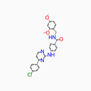 COc1ccc(CNC(=O)c2ccc(Nc3nccc(-c4ccc(Cl)cc4)n3)cc2)c(OC)c1